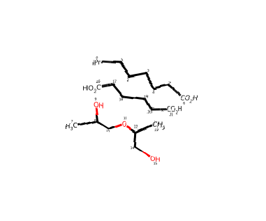 CC(C)CCCCCC(=O)O.CC(O)COC(C)CO.O=C(O)CCCCC(=O)O